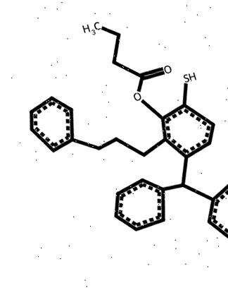 CCCC(=O)Oc1c(S)ccc(C(c2ccccc2)c2ccccc2)c1CCCc1ccccc1